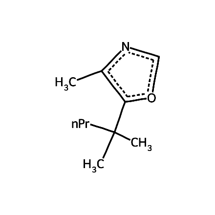 CCCC(C)(C)c1ocnc1C